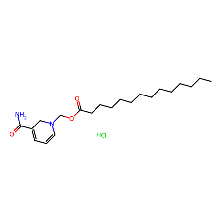 CCCCCCCCCCCCCC(=O)OCN1C=CC=C(C(N)=O)C1.Cl